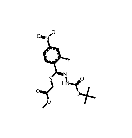 COC(=O)CS/C(=N\NC(=O)OC(C)(C)C)c1ccc([N+](=O)[O-])cc1F